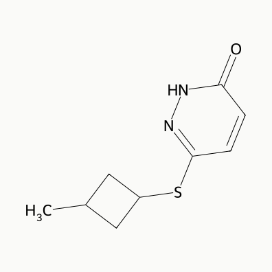 CC1CC(Sc2ccc(=O)[nH]n2)C1